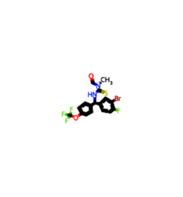 CN(C=O)C(=S)NC(c1ccc(OC(F)(F)F)cc1)c1ccc(F)c(Br)c1